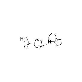 NC(=O)c1ccc(CN2CCCN3CCCC32)cc1